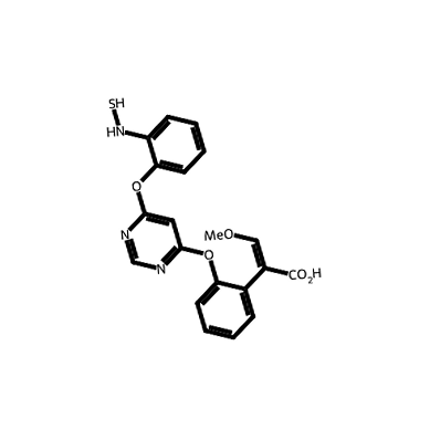 CO/C=C(/C(=O)O)c1ccccc1Oc1cc(Oc2ccccc2NS)ncn1